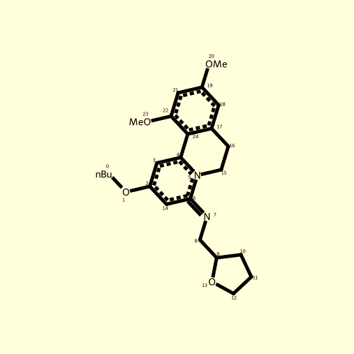 CCCCOc1cc2n(/c(=N/CC3CCCO3)c1)CCc1cc(OC)cc(OC)c1-2